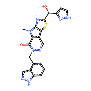 Cn1c2nc([C@@H](O)c3cc[nH]n3)sc2c2cnn(Cc3cccc4[nH]ncc34)c(=O)c21